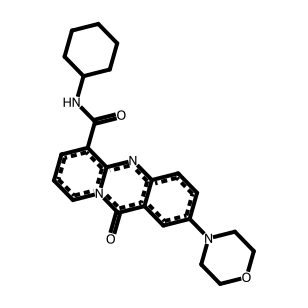 O=C(NC1CCCCC1)c1cccn2c(=O)c3cc(N4CCOCC4)ccc3nc12